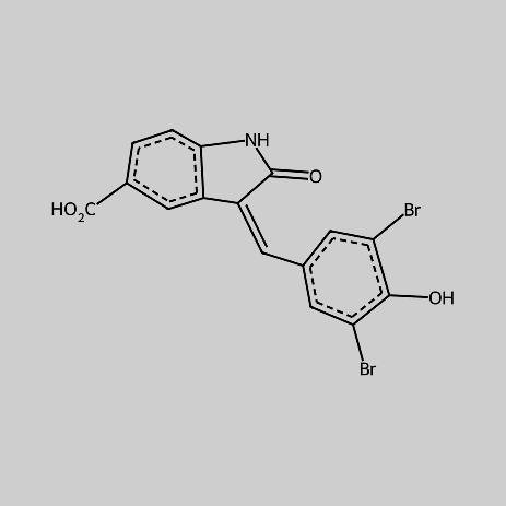 O=C1Nc2ccc(C(=O)O)cc2/C1=C/c1cc(Br)c(O)c(Br)c1